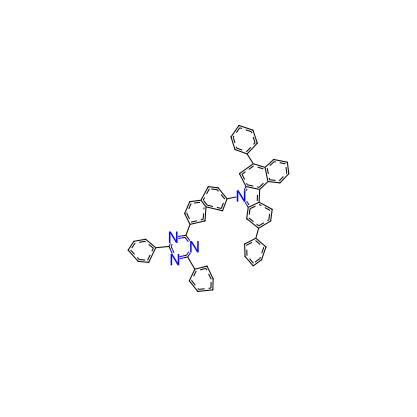 c1ccc(-c2ccc3c4c5ccccc5c(-c5ccccc5)cc4n(-c4ccc5ccc(-c6nc(-c7ccccc7)nc(-c7ccccc7)n6)cc5c4)c3c2)cc1